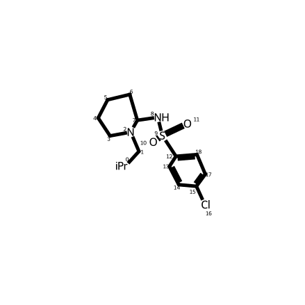 CC(C)CN1CCCCC1NS(=O)(=O)c1ccc(Cl)cc1